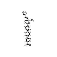 CC=CCOC(=O)[C@H](C)OC(=O)c1ccc(N2CCN(c3ccc(C(=O)O)cn3)CC2)nc1